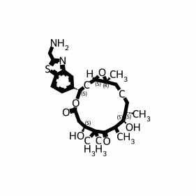 CC1C(=O)C(C)(C)[C@@H](O)CC(=O)O[C@H](c2ccc3sc(CN)nc3c2)C[C@@H]2O[C@]2(C)CCC[C@H](C)[C@@H]1O